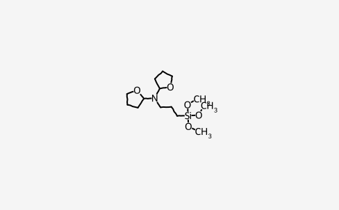 CO[Si](CCCN(C1CCCO1)C1CCCO1)(OC)OC